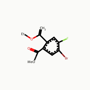 C=C(OCC)c1cc(F)c(Br)cc1C(=O)OC